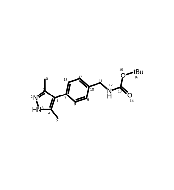 Cc1n[nH]c(C)c1-c1ccc(CNC(=O)OC(C)(C)C)cc1